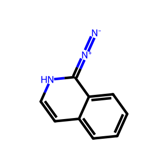 [N-]=[N+]=c1[nH]ccc2ccccc12